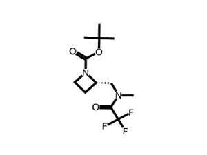 CN(C[C@@H]1CCN1C(=O)OC(C)(C)C)C(=O)C(F)(F)F